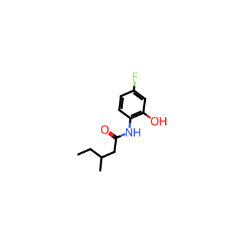 CCC(C)CC(=O)Nc1ccc(F)cc1O